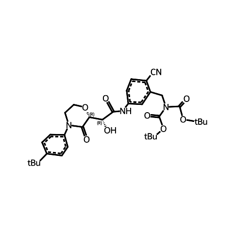 CC(C)(C)OC(=O)N(Cc1cc(NC(=O)[C@H](O)[C@H]2OCCN(c3ccc(C(C)(C)C)cc3)C2=O)ccc1C#N)C(=O)OC(C)(C)C